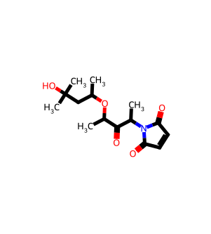 CC(CC(C)(C)O)OC(C)C(=O)C(C)N1C(=O)C=CC1=O